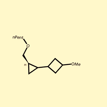 CCCCCOC[C@@H]1CC1C1CC(OC)C1